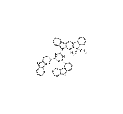 CC1(C)c2ccccc2-c2cc3c4ccccc4n(-c4nc(-c5ccc6oc7ccccc7c6c5)cc(-c5cccc6oc7ccccc7c56)n4)c3cc21